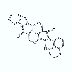 O=c1c2ccc3c4c(ccc(c24)c2nc4ccccc4n12)c(=O)n1c2cccc4cccc(nc31)c42